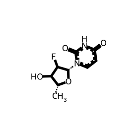 C[C@H]1O[C@@H](n2ccc(=O)[nH]c2=O)C(F)C1O